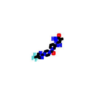 Cc1cc(N[C@H]2CCCN(C(=O)N3CCN(c4ncc(C(F)(F)F)cn4)CC3)C2)n[nH]c1=O